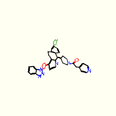 O=C(Cc1ccncc1)N1CCC(=C2c3ccc(Cl)cc3CCc3c(On4nnc5ccccc54)ccnc32)CC1